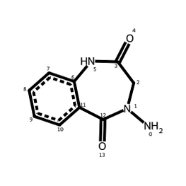 NN1CC(=O)Nc2ccccc2C1=O